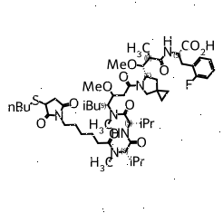 CCCCSC1CC(=O)N(CCCCCC(=O)N(C)[C@H](C(=O)N[C@H](C(=O)N(C)C(C(CC(=O)N2CC3(CC3)C[C@H]2C(OC)[C@@H](C)C(=O)N[C@@H](Cc2ccccc2F)C(=O)O)OC)[C@@H](C)CC)C(C)C)C(C)C)C1=O